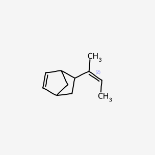 C/C=C(/C)C1CC2C=CC1C2